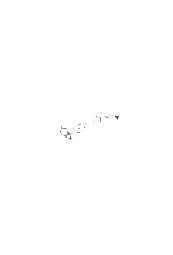 O=C(CC1CC1)N[C@H]1CC[C@H](CCN2CCN(c3noc4cc(F)c(Cl)cc34)CC2)CC1